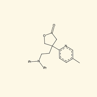 Cc1ccc(C2(CCN(C(C)C)C(C)C)COC(=O)C2)nc1